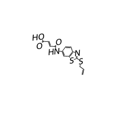 C=CCSc1nc2ccc(NC(=O)C=CC(=O)O)cc2s1